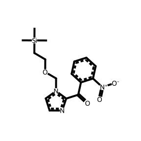 C[Si](C)(C)CCOCn1ccnc1C(=O)c1ccccc1[N+](=O)[O-]